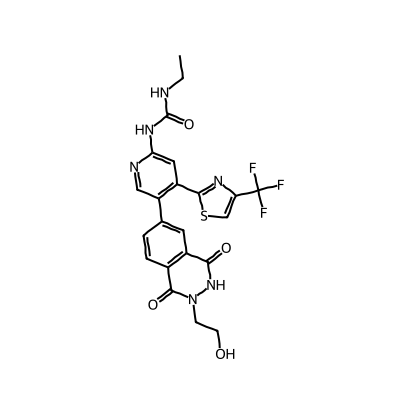 CCNC(=O)Nc1cc(-c2nc(C(F)(F)F)cs2)c(-c2ccc3c(=O)n(CCO)[nH]c(=O)c3c2)cn1